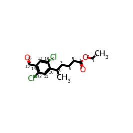 CCOC(=O)CCCC(C)c1cc(Cl)c(C=O)cc1Cl